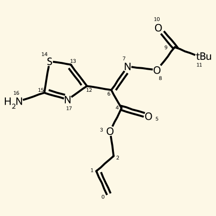 C=CCOC(=O)C(=NOC(=O)C(C)(C)C)c1csc(N)n1